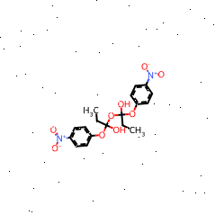 CCC(O)(Oc1ccc([N+](=O)[O-])cc1)OC(O)(CC)Oc1ccc([N+](=O)[O-])cc1